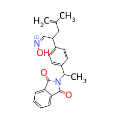 C=C(C)CC(/C=N\O)c1ccc(C(C)N2C(=O)c3ccccc3C2=O)cc1